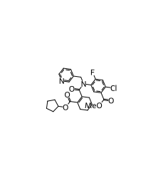 COC(=O)c1cc(N(Cc2cccnc2)C(=O)C2=C(C(=O)OC3CCCC3)CCCC2)c(F)cc1Cl